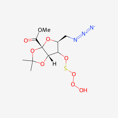 COC(=O)[C@@]12O[C@@H](CN=[N+]=[N-])C(OSOOO)[C@@H]1OC(C)(C)O2